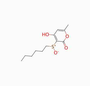 CCCCCC[S+]([O-])c1c(O)cc(C)oc1=O